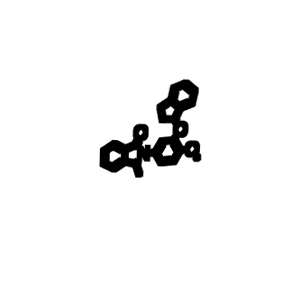 COc1ccc(N2C(=O)c3ccccc3C2C)cc1OC1CCc2ccccc21